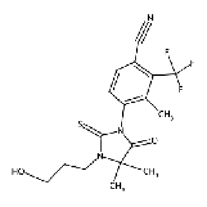 Cc1c(N2C(=O)C(C)(C)N(CCCO)C2=S)ccc(C#N)c1C(F)(F)F